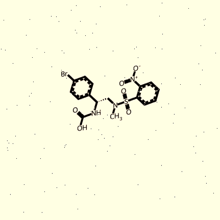 CN(C[C@H](NC(=O)O)c1ccc(Br)cc1)S(=O)(=O)c1ccccc1[N+](=O)[O-]